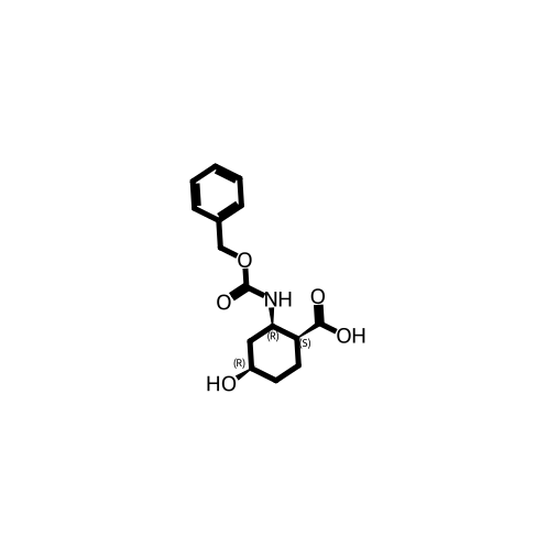 O=C(N[C@@H]1C[C@H](O)CC[C@@H]1C(=O)O)OCc1ccccc1